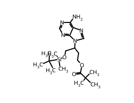 CC(C)(C)C(=O)OCCC(CO[Si](C)(C)C(C)(C)C)n1cnc2c(N)ncnc21